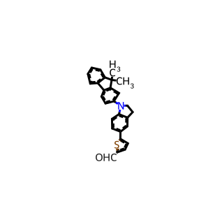 CC1(C)c2ccccc2-c2ccc(N3CCc4cc(-c5ccc(C=O)s5)ccc43)cc21